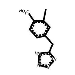 Cc1cc(Cc2nnn[nH]2)ccc1C(=O)O